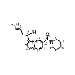 C/C=C/CC(O)c1cnc2ccc(C(=O)N3CCCCC3)cn12